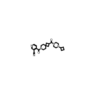 N#Cc1cnccc1C(=O)N1CCC2(CC1)CC(C(=O)N1CCN(C3CCC3)CC1)C2